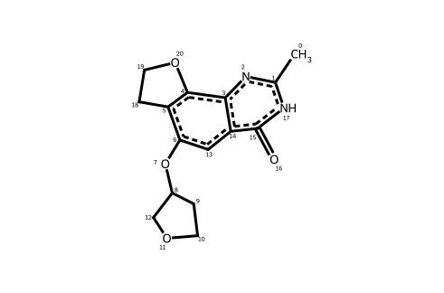 Cc1nc2c3c(c(OC4CCOC4)cc2c(=O)[nH]1)CCO3